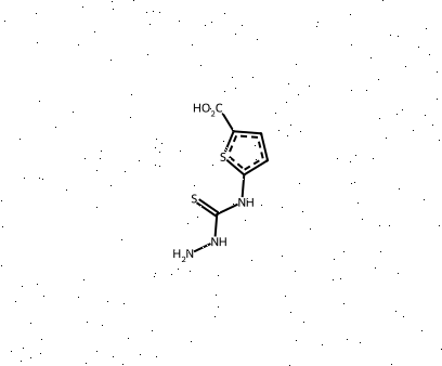 NNC(=S)Nc1ccc(C(=O)O)s1